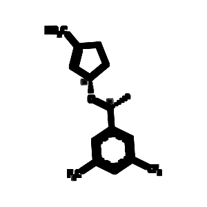 C[C@@H](O[C@@H]1C=C(C(=O)O)CC1)c1cc(C(F)(F)F)cc(C(F)(F)F)c1